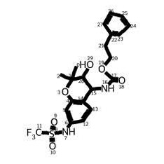 CC1(C)Oc2cc(NS(=O)(=O)C(F)(F)F)ccc2C(NC(=O)OCCc2ccccc2)C1O